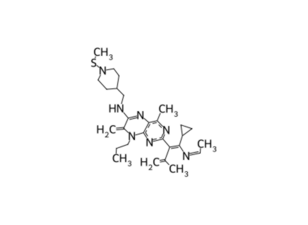 C=C(C)/C(=C(\N=C/C)C1CC1)c1nc(C)c2c(n1)N(CCC)C(=C)C(NCC1CCN(SC)CC1)=N2